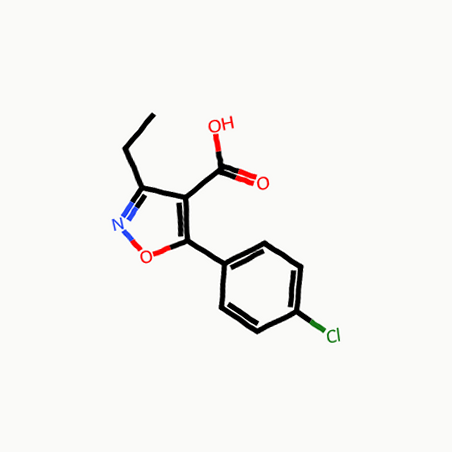 CCc1noc(-c2ccc(Cl)cc2)c1C(=O)O